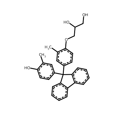 Cc1cc(C2(c3ccc(OCC(O)CO)c(C)c3)c3ccccc3-c3ccccc32)ccc1O